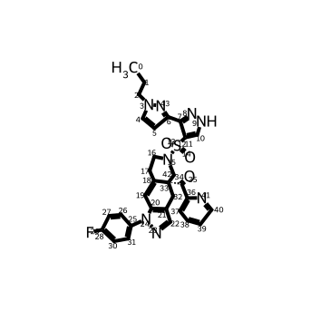 CCCn1ccc(-c2n[nH]cc2S(=O)(=O)N2CCC3=Cc4c(cnn4-c4ccc(F)cc4)C[C@]3(C(=O)c3ccccn3)C2)n1